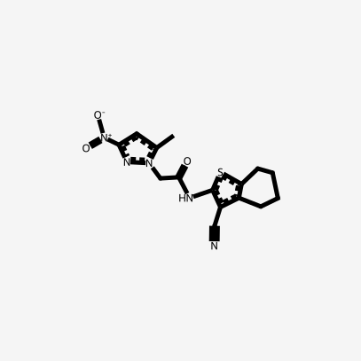 Cc1cc([N+](=O)[O-])nn1CC(=O)Nc1sc2c(c1C#N)CCCC2